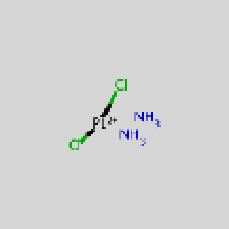 N.N.[Cl][Pt+2][Cl]